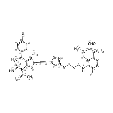 C=Cc1ccc(F)c(NCCCCn2cc(C#Cc3sc(N(C(=C)C)C(C)=N)c(C(=C)c4ccc(Cl)cc4)c3C)cn2)c1CN(C)C(C=O)CCC